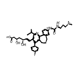 CC(C)c1nc2c(c(-c3ccc(F)cc3)c1/C=C/[C@@H](O)C[C@@H](O)CC(=O)O)CCCc1cc(NC(=O)NCCCN(C)C)ccc1-2